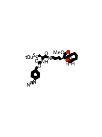 COC(=O)[C@H](CCCCNC(=O)[C@H](CSSC(C)(C)C)NC(=O)OCc1ccc(N=[N+]=[N-])cc1)NB1[C@H]2CCC[C@@H]1CCC2